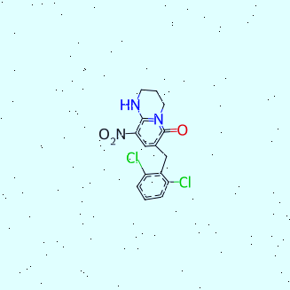 O=c1c(Cc2c(Cl)cccc2Cl)cc([N+](=O)[O-])c2n1CCCN2